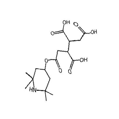 CC1(C)CC(OC(=O)CC(C(=O)O)C(CC(=O)O)C(=O)O)CC(C)(C)N1